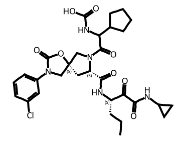 CCC[C@H](NC(=O)[C@@H]1C[C@@]2(CN(c3cccc(Cl)c3)C(=O)O2)CN1C(=O)C(NC(=O)O)C1CCCC1)C(=O)C(=O)NC1CC1